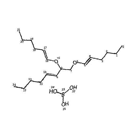 CCCCC=COCC(C=CCCCC)OC=CCCCC.OB(O)O